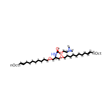 CCCCCCCCC=CCCCCCCCCOCC(COCCCCCCCCC=CCCCCCCCC)NC(=O)OCCN(C)C